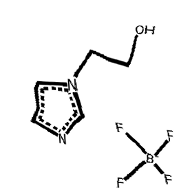 F[B-](F)(F)F.OCCn1ccnc1